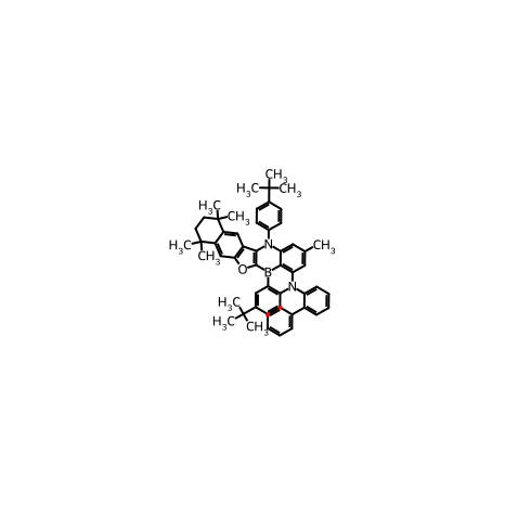 Cc1cc2c3c(c1)N(c1ccc(C(C)(C)C)cc1)c1c(oc4cc5c(cc14)C(C)(C)CCC5(C)C)B3c1cc(C(C)(C)C)ccc1N2c1ccccc1-c1ccccc1